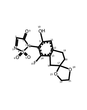 O=C1C=NS(=O)(=O)N1c1c(O)cc2c(c1F)CC1(CC2)OCCO1